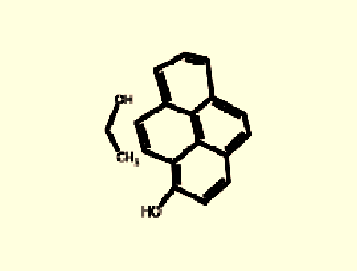 CCO.Oc1ccc2ccc3cccc4ccc1c2c34